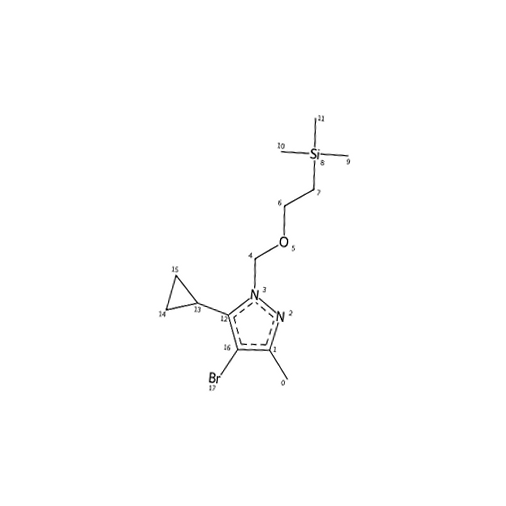 Cc1nn(COCC[Si](C)(C)C)c(C2CC2)c1Br